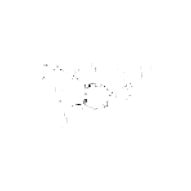 CCC(C)(C)c1ccc(OP)c(C(C)(C)CC)c1